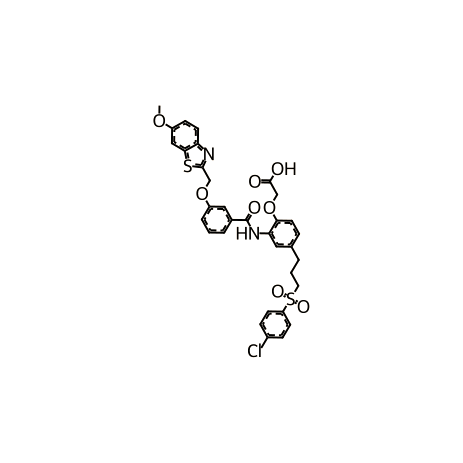 COc1ccc2nc(COc3cccc(C(=O)Nc4cc(CCCS(=O)(=O)c5ccc(Cl)cc5)ccc4OCC(=O)O)c3)sc2c1